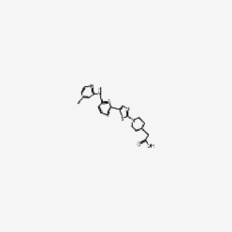 Cc1ccnc(Nc2cccc(-c3cnc(N4CCC(CC(=O)O)CC4)s3)n2)c1